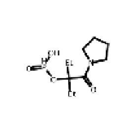 CCC(CC)(O[PH](=O)O)C(=O)N1CCCC1